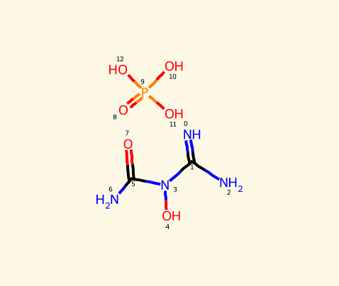 N=C(N)N(O)C(N)=O.O=P(O)(O)O